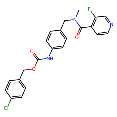 CN(Cc1ccc(NC(=O)OCc2ccc(Cl)cc2)cc1)C(=O)c1ccncc1F